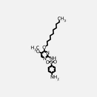 CCCCCCCCCCOc1nc(NS(=O)(=O)c2ccc(N)cc2)ncc1OC